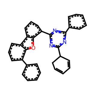 C1=CCC(c2nc(-c3ccccc3)nc(-c3cccc4c3oc3c(-c5ccccc5)cccc34)n2)C=C1